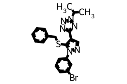 CC(C)n1nnc(-c2cnn(-c3cccc(Br)c3)c2SCc2ccccc2)n1